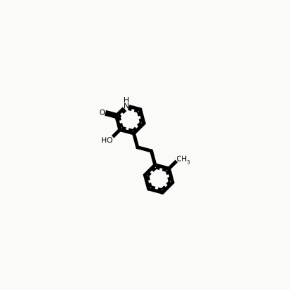 Cc1ccccc1CCc1cc[nH]c(=O)c1O